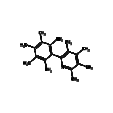 Cc1nc(-c2c(C)c(C)c(C)c(C)c2C)c(C)c(C)c1C